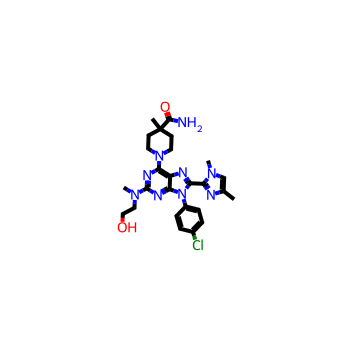 Cc1cn(C)c(-c2nc3c(N4CCC(C)(C(N)=O)CC4)nc(N(C)CCO)nc3n2-c2ccc(Cl)cc2)n1